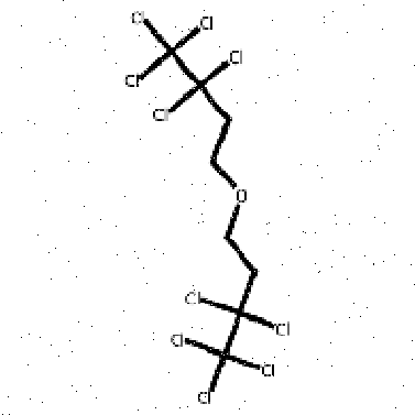 ClC(Cl)(Cl)C(Cl)(Cl)CCOCCC(Cl)(Cl)C(Cl)(Cl)Cl